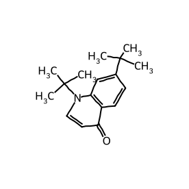 CC(C)(C)c1ccc2c(=O)ccn(C(C)(C)C)c2c1